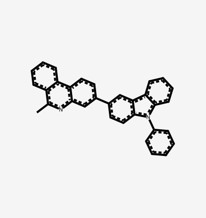 Cc1nc2cc(-c3ccc4c(c3)c3ccccc3n4-c3ccccc3)ccc2c2ccccc12